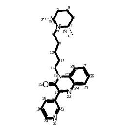 C[C@@H]1CCC[C@H](C)N1CCCCCn1c(=O)c(-c2cccnc2)nc2ccccc21